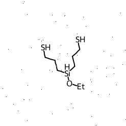 CCO[SiH](CCCS)CCCS